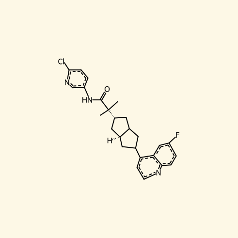 CC(C)(C(=O)Nc1ccc(Cl)nc1)[C@@H]1CC2CC(c3ccnc4ccc(F)cc34)C[C@H]2C1